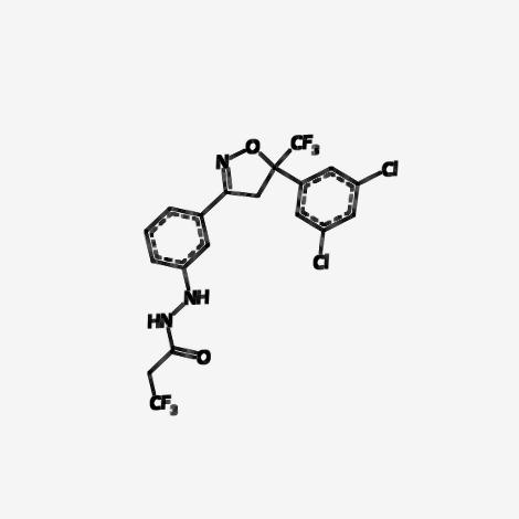 O=C(CC(F)(F)F)NNc1cccc(C2=NOC(c3cc(Cl)cc(Cl)c3)(C(F)(F)F)C2)c1